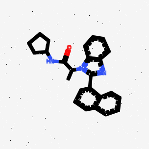 CC(C(=O)NC1CCCC1)n1c(-c2cccc3ccccc23)nc2ccccc21